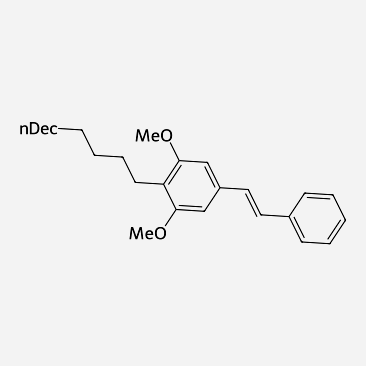 CCCCCCCCCCCCCCc1c(OC)cc(C=Cc2ccccc2)cc1OC